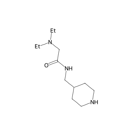 CCN(CC)CC(=O)NCC1CCNCC1